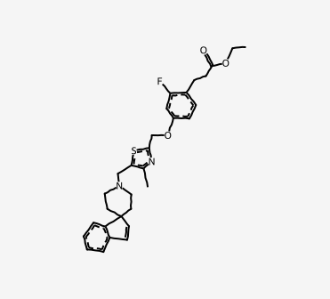 CCOC(=O)CCc1ccc(OCc2nc(C)c(CN3CCC4(C=Cc5ccccc54)CC3)s2)cc1F